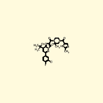 Cc1ncc(C(=O)N2CCN(C(=O)c3cn4nc(-c5ccc(F)c(Cl)c5)cc(C(C)(C)C)c4n3)C(C)(C)C2)[nH]1